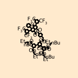 CCCCC(CC)COC(=O)c1cc(C(=O)OCC(CC)CCCC)cc(-c2cc(OC(=O)Cc3ccc(-n4c(=O)c5cc(-c6cc(C(F)(F)F)cc(C(F)(F)F)c6)c6oc7ccccc7c7c(-c8cc(C(F)(F)F)cc(C(F)(F)F)c8)cc(c4=O)c5c67)cc3)cc(-c3cc(C(=O)OCC(CC)CCCC)cc(C(=O)OCC(CC)CCCC)c3)c2C=O)c1